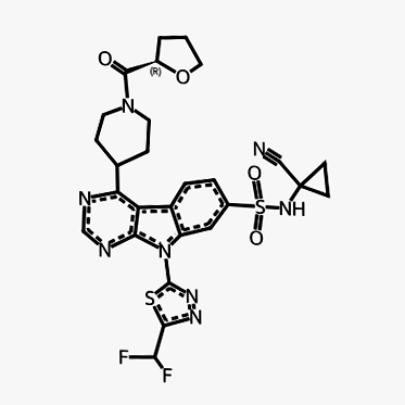 N#CC1(NS(=O)(=O)c2ccc3c4c(C5CCN(C(=O)[C@H]6CCCO6)CC5)ncnc4n(-c4nnc(C(F)F)s4)c3c2)CC1